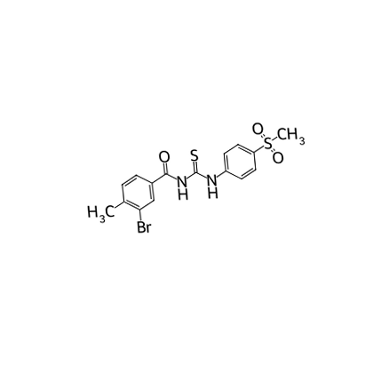 Cc1ccc(C(=O)NC(=S)Nc2ccc(S(C)(=O)=O)cc2)cc1Br